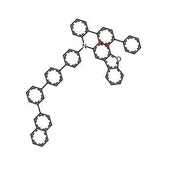 c1ccc(-c2ccc(-c3ccccc3N(c3ccc(-c4ccc(-c5cccc(-c6ccc7ccccc7c6)c5)cc4)cc3)c3ccc4oc5ccccc5c4c3)cc2)cc1